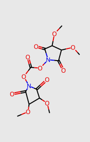 COC1C(=O)N(OC(=O)ON2C(=O)C(OC)C(OC)C2=O)C(=O)C1OC